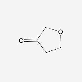 O=C1[CH]COC1